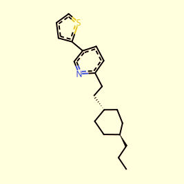 CCC[C@H]1CC[C@H](CCc2ccc(-c3cccs3)cn2)CC1